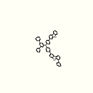 c1ccc(-c2cc(-c3ccccc3)cc(N(c3ccc(-c4ccc5c(c4)oc4ccccc45)cc3)c3ccc(-c4ccc5oc6c(-c7ccccc7)cccc6c5c4)cc3)c2)cc1